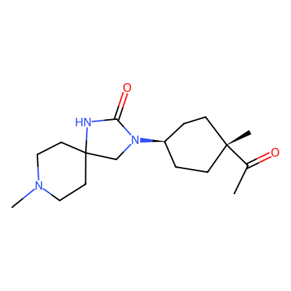 CC(=O)[C@]1(C)CC[C@@H](N2CC3(CCN(C)CC3)NC2=O)CC1